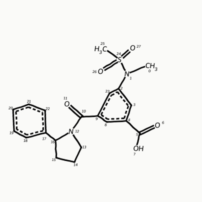 CN(c1cc(C(=O)O)cc(C(=O)N2CCCC2c2ccccc2)c1)S(C)(=O)=O